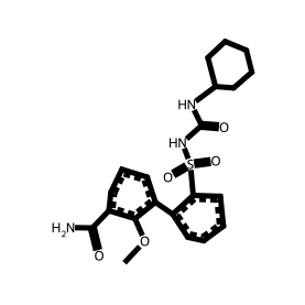 COc1c(C(N)=O)cccc1-c1ccccc1S(=O)(=O)NC(=O)NC1CCCCC1